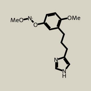 CO[N]Oc1ccc(OC)c(CCCc2c[nH]cn2)c1